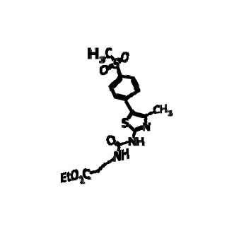 CCOC(=O)CCNC(=O)Nc1nc(C)c(-c2ccc(S(C)(=O)=O)cc2)s1